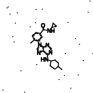 Cc1ccc(C(=O)NC2CC2)cc1-n1cnc2c(NC3CCC(C)CC3)ncnc21